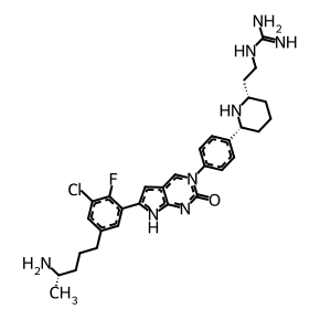 C[C@H](N)CCCc1cc(Cl)c(F)c(-c2cc3cn(-c4ccc([C@H]5CCC[C@@H](CCNC(=N)N)N5)cc4)c(=O)nc3[nH]2)c1